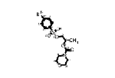 C[C@H](COS(=O)(=O)c1ccc(Br)cc1)OC(=O)N1CCOCC1